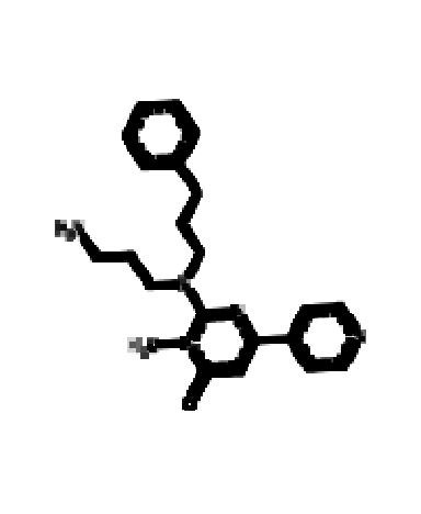 Cn1c(N(CCCN)CCCc2ccccc2)nc(-c2ccncc2)cc1=O